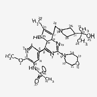 COc1ncc(C2=NC(N3CCOCC3)=NC3C(CN4CC(C(C)(C)O)C4)=C(C)BC23)cc1NS(C)(=O)=O